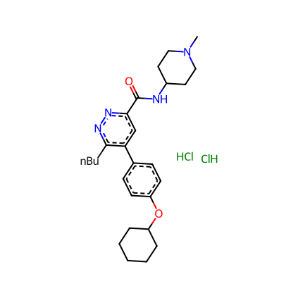 CCCCc1nnc(C(=O)NC2CCN(C)CC2)cc1-c1ccc(OC2CCCCC2)cc1.Cl.Cl